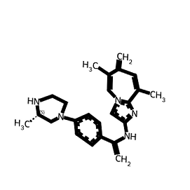 C=C1C=C(C)c2nc(NC(=C)c3ccc(N4CCN[C@@H](C)C4)cc3)cn2C=C1C